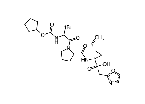 C=C[C@@H]1C[C@]1(NC(=O)[C@@H]1CCCN1C(=O)C(NC(=O)OC1CCCC1)C(C)(C)C)P(=O)(O)Cc1ncco1